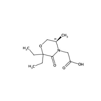 CCC1(CC)OC[C@@H](C)N(CC(=O)O)C1=O